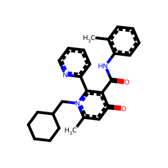 Cc1ccccc1NC(=O)c1c(-c2ccccn2)n(CC2CCCCC2)c(C)cc1=O